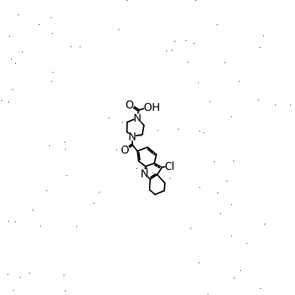 O=C(O)N1CCN(C(=O)c2ccc3c(Cl)c4c(nc3c2)CCCC4)CC1